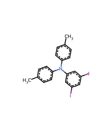 Cc1ccc(N(c2ccc(C)cc2)c2cc(I)cc(I)c2)cc1